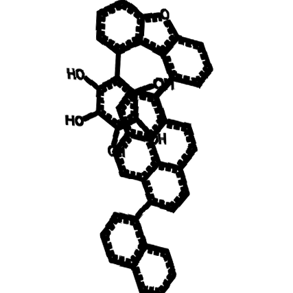 Oc1c(O)c(O)c(-c2cccc3oc4cccc(-c5ccc6ccc7c(-c8cccc9ccccc89)ccc8ccc5c6c87)c4c23)c(O)c1O